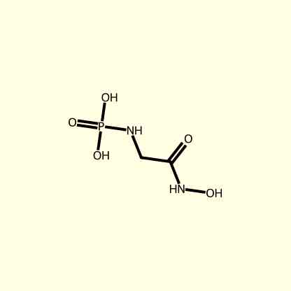 O=C(CNP(=O)(O)O)NO